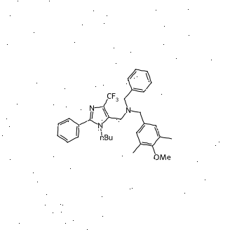 CCCCn1c(-c2ccccc2)nc(C(F)(F)F)c1CN(Cc1ccccc1)Cc1cc(C)c(OC)c(C)c1